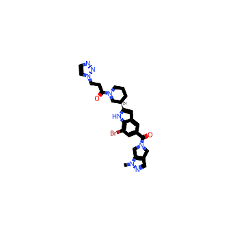 Cn1ncc2c1CN(C(=O)c1cc(Br)c3[nH]c([C@H]4CCCN(C(=O)CCn5ccnn5)C4)cc3c1)C2